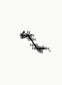 COC1C(OC(=O)N[C@@H](COC(=O)NCCCCCCNC(=O)CNN[C@@H](CC(C)C)C(=O)C(=O)CNC(=O)CN)C(C)C)CC[C@]2(CO2)C1C1(C)O[C@@H]1CC=C(C)C